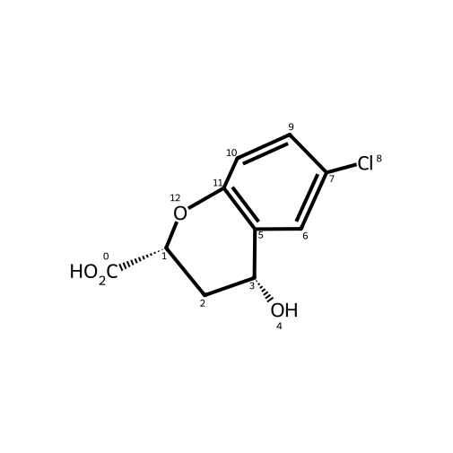 O=C(O)[C@H]1C[C@@H](O)c2cc(Cl)ccc2O1